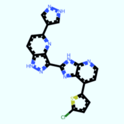 Clc1ccc(-c2ccnc3[nH]c(-c4n[nH]c5ccc(-c6cn[nH]c6)nc45)nc23)s1